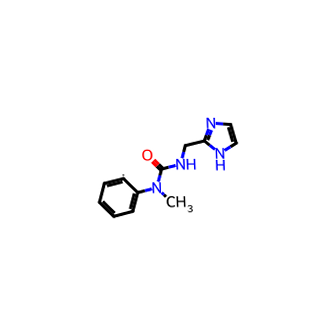 CN(C(=O)NCc1ncc[nH]1)c1[c]cccc1